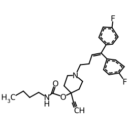 C#CC1(OC(=O)NCCCC)CCN(CCC=C(c2ccc(F)cc2)c2ccc(F)cc2)CC1